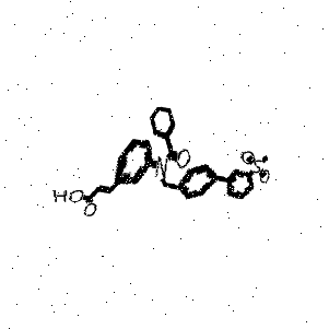 CS(=O)(=O)c1cccc(-c2ccc(CN(C(=O)C3CCCCC3)c3cccc(C=CC(=O)O)c3)cc2)c1